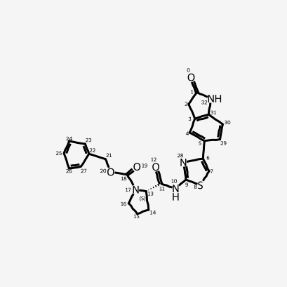 O=C1Cc2cc(-c3csc(NC(=O)[C@@H]4CCCN4C(=O)OCc4ccccc4)n3)ccc2N1